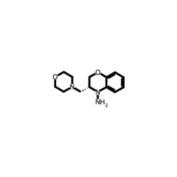 NN1c2ccccc2OC[C@H]1CN1CCOCC1